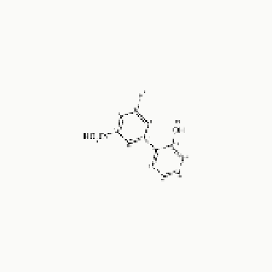 O=C(O)c1cc(F)cc(-c2ccccc2O)c1